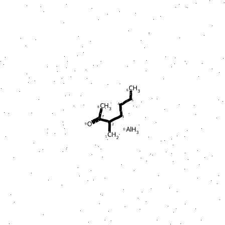 [AlH3].[CH2]C(CCCC)C(C)=O